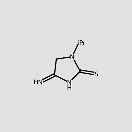 CC(C)N1CC(=N)NC1=S